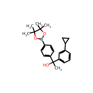 CC(O)(c1ccc(B2OC(C)(C)C(C)(C)O2)cc1)c1cccc(C2CC2)c1